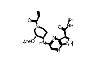 C=CC(=O)N1CC[C@H](Nc2cnc3[nH]cc(C(=O)NC(C)C)c3n2)[C@@H](OC)C1